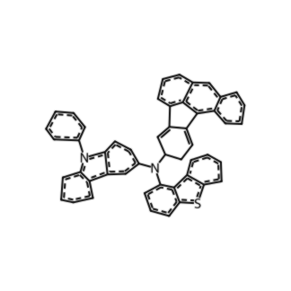 C1=C2C(=CCC1N(c1ccc3c(c1)c1ccccc1n3-c1ccccc1)c1cccc3sc4ccccc4c13)c1c3ccccc3cc3cccc2c13